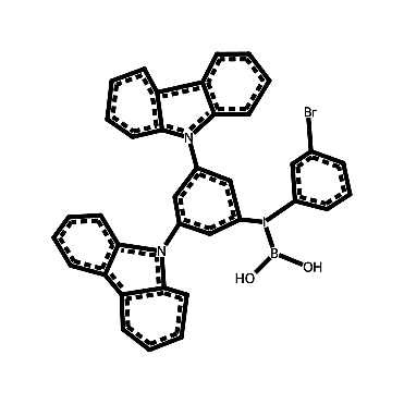 OB(O)I(c1cccc(Br)c1)c1cc(-n2c3ccccc3c3ccccc32)cc(-n2c3ccccc3c3ccccc32)c1